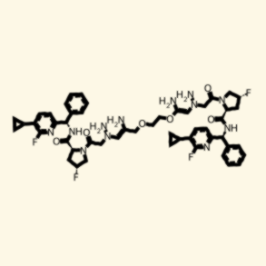 N/C(=C\N(N)CC(=O)N1C[C@H](F)C[C@H]1C(=O)N[C@@H](c1ccccc1)c1ccc(C2CC2)c(F)n1)COCCO/C(N)=C/N(N)CC(=O)N1C[C@H](F)C[C@H]1C(=O)N[C@@H](c1ccccc1)c1ccc(C2CC2)c(F)n1